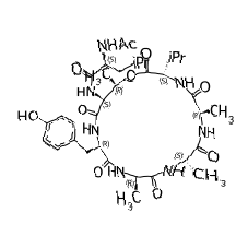 CC(=O)N[C@@H](CC(C)C)C(=O)N[C@@H]1C(=O)N[C@H](Cc2ccc(O)cc2)C(=O)N[C@H](C)C(=O)N[C@@H](C)C(=O)N[C@H](C)C(=O)N[C@@H](C(C)C)C(=O)O[C@@H]1C